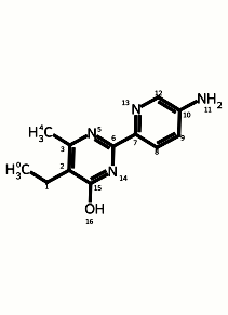 CCc1c(C)nc(-c2ccc(N)cn2)nc1O